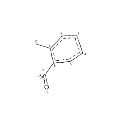 Cc1cccc[c]1[Sn]=[O]